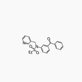 CCS(=O)(=O)N(Cc1cccnc1)c1cccc(C(=O)c2ccccc2)c1